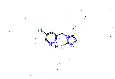 Cc1nccn1Cc1cc(Cl)cnn1